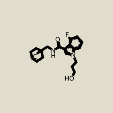 O=C(NCC12CCC(CC1)CC2)c1cn(CCCO)c2cccc(F)c12